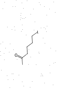 CC(=O)CCCCI